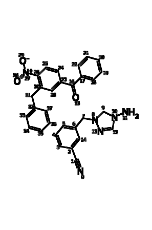 N#Cc1cccc(CN2CN(N)C=N2)c1.O=C(c1ccccc1)c1ccc([N+](=O)[O-])c(Cc2ccccc2)c1